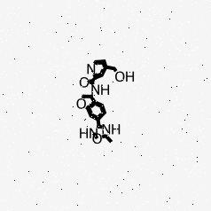 CC1NC(c2ccc3c(c2)OC[C@H]3NC(=O)c2cc(CO)ccn2)NO1